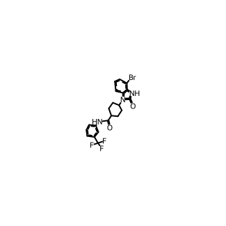 O=C(Nc1cccc(C(F)(F)F)c1)C1CCC(n2c(=O)[nH]c3c(Br)cccc32)CC1